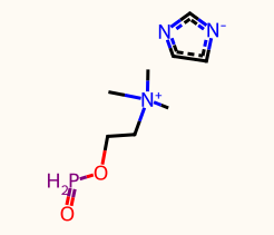 C[N+](C)(C)CCO[PH2]=O.c1c[n-]cn1